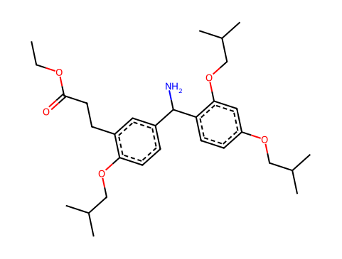 CCOC(=O)CCc1cc(C(N)c2ccc(OCC(C)C)cc2OCC(C)C)ccc1OCC(C)C